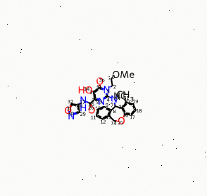 COCCn1c(N(C)C2c3ccccc3COc3cccc(C#N)c32)nc(C(=O)Nc2cnoc2)c(O)c1=O